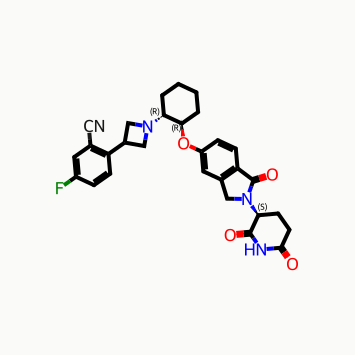 N#Cc1cc(F)ccc1C1CN([C@@H]2CCCC[C@H]2Oc2ccc3c(c2)CN([C@H]2CCC(=O)NC2=O)C3=O)C1